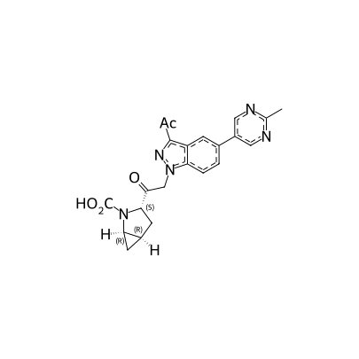 CC(=O)c1nn(CC(=O)[C@@H]2C[C@H]3C[C@H]3N2C(=O)O)c2ccc(-c3cnc(C)nc3)cc12